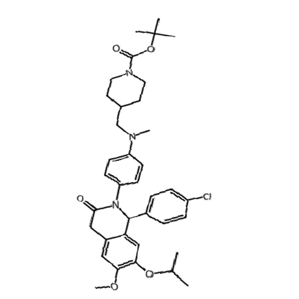 COc1cc2c(cc1OC(C)C)C(c1ccc(Cl)cc1)N(c1ccc(N(C)CC3CCN(C(=O)OC(C)(C)C)CC3)cc1)C(=O)C2